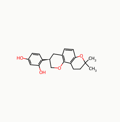 CC1(C)CCc2c(ccc3c2OC[C@@H](c2ccc(O)cc2O)C3)O1